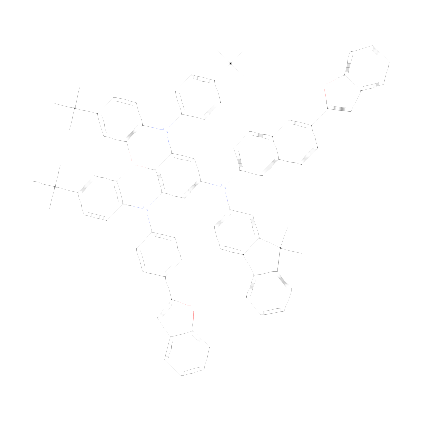 CC(C)(C)c1ccc(N2c3ccc(C(C)(C)C)cc3B3c4cc(C(C)(C)C)ccc4N(c4ccc(-c5cc6ccccc6o5)cc4)c4cc(N(c5ccc6c(c5)C(C)(C)c5ccccc5-6)c5ccc6cc(-c7cc8ccccc8o7)ccc6c5)cc2c43)cc1